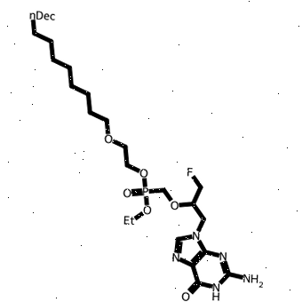 CCCCCCCCCCCCCCCCCCOCCOP(=O)(COC(CF)Cn1cnc2c(=O)[nH]c(N)nc21)OCC